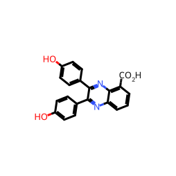 O=C(O)c1cccc2nc(-c3ccc(O)cc3)c(-c3ccc(O)cc3)nc12